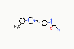 Cc1cccc(N2CCN(CC[C@H]3CC[C@H](NC(=O)CC#N)CC3)CC2)c1